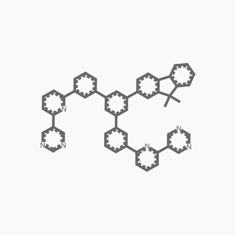 CC1(C)c2ccccc2-c2ccc(-c3cc(-c4cccc(-c5cccc(-c6cncnc6)n5)c4)cc(-c4cccc(-c5cccc(-c6cncnc6)n5)c4)c3)cc21